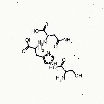 NC(=O)CC(N)C(=O)O.NC(CO)C(=O)O.NC(Cc1c[nH]cn1)C(=O)O